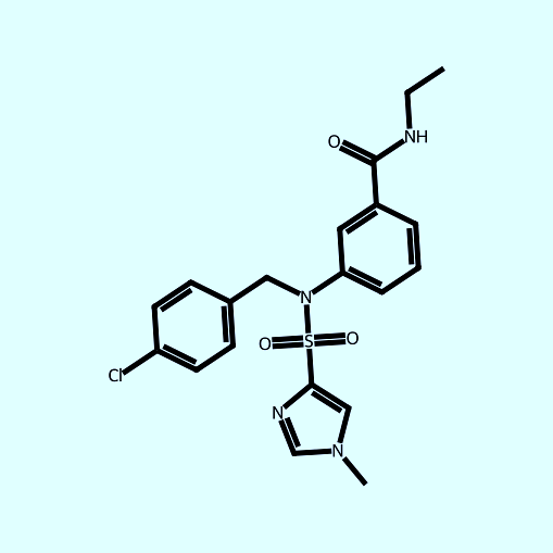 CCNC(=O)c1cccc(N(Cc2ccc(Cl)cc2)S(=O)(=O)c2cn(C)cn2)c1